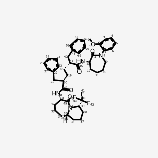 COc1ccccc1N1CCCC[C@H](NC(=O)[C@H](CC[C@H](Cc2ccccc2)C(=O)N[C@H]2CCS[C@H]3CCC[C@@H](C(F)(F)F)N3C2=O)Cc2ccccc2)C1=O